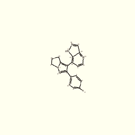 Fc1ccc(-c2nn3c(c2-c2ccnc4cn[nH]c24)CCC3)nc1